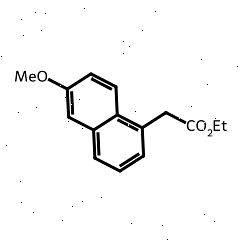 CCOC(=O)Cc1cccc2cc(OC)ccc12